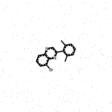 Cc1cccc(C)c1-c1cnc2cccc(Br)c2n1